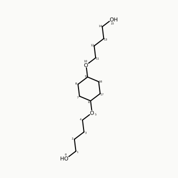 OCCCCOC1CCC(OCCCCO)CC1